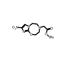 CC(C)(C)OC(=O)CN1CCOc2nc([N+](=O)[O-])cn2CC1